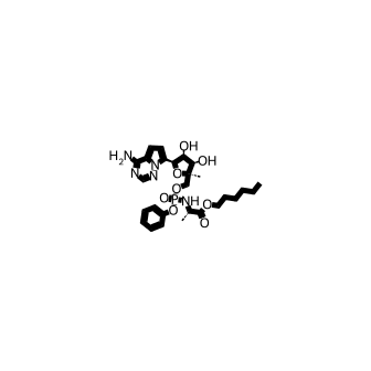 CCCCCCOC(=O)[C@H](C)NP(=O)(OC[C@@]1(C)O[C@@H](c2ccc3c(N)ncnn23)[C@H](O)[C@@H]1O)Oc1ccccc1